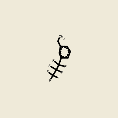 [CH2]Cc1cccc(C(F)(F)C(F)(F)C(F)(F)F)c1